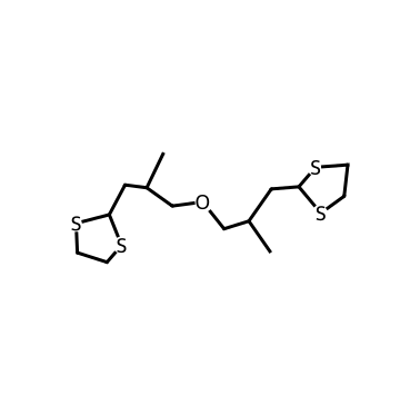 CC(COCC(C)CC1SCCS1)CC1SCCS1